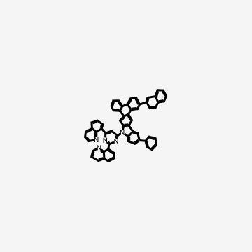 c1ccc(-c2ccc3c(c2)c2cc4c5cc(-c6ccc7ccccc7c6)ccc5c5ccccc5c4cc2n3-c2cc(-c3cccc4cccnc34)nc(-c3cccc4cccnc34)n2)cc1